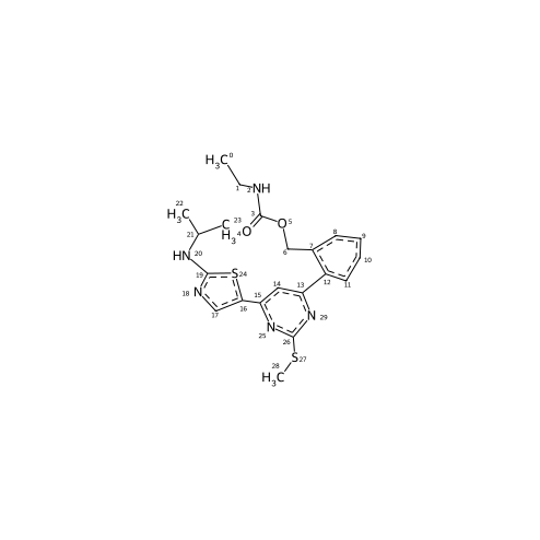 CCNC(=O)OCc1ccccc1-c1cc(-c2cnc(NC(C)C)s2)nc(SC)n1